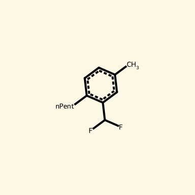 CCCCCc1ccc(C)cc1C(F)F